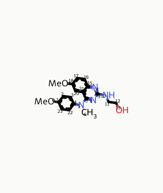 COc1ccc(N(C)c2nc(NCCO)nc3ccc(OC)cc23)cc1